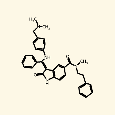 CN(C)Cc1ccc(NC(=C2C(=O)Nc3ccc(C(=O)N(C)CCc4ccccc4)cc32)c2ccccc2)cc1